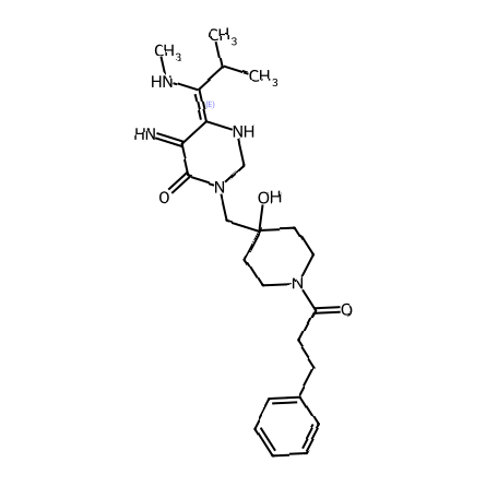 CN/C(=C1/NCN(CC2(O)CCN(C(=O)CCc3ccccc3)CC2)C(=O)C1=N)C(C)C